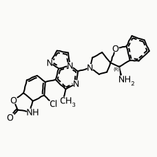 Cc1nc(N2CCC3(CC2)Oc2ccccc2[C@H]3N)n2ccnc2c1C1=C(Cl)C2NC(=O)OC2C=C1